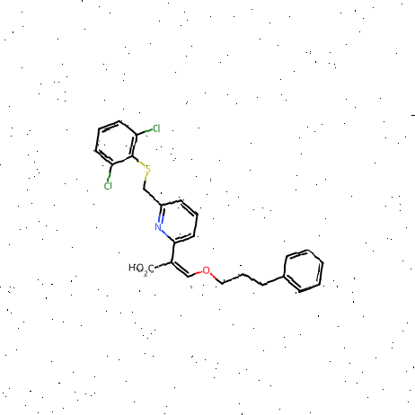 O=C(O)C(=COCCCc1ccccc1)c1cccc(CSc2c(Cl)cccc2Cl)n1